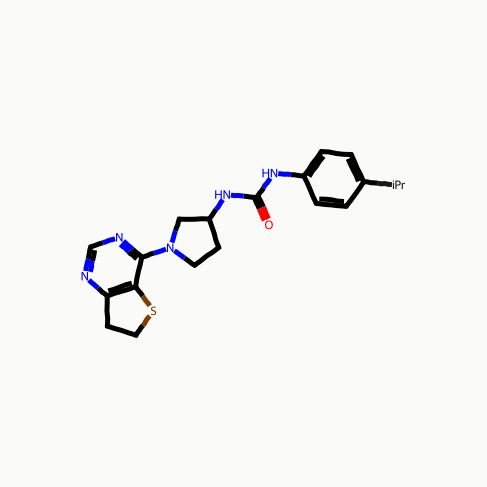 CC(C)c1ccc(NC(=O)NC2CCN(c3ncnc4c3SCC4)C2)cc1